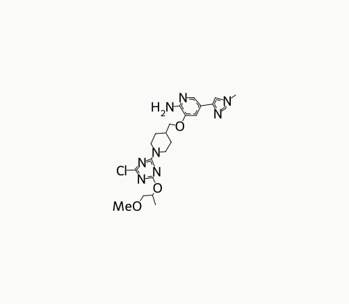 COCC(C)Oc1nc(Cl)nc(N2CCC(COc3cc(-c4cn(C)cn4)cnc3N)CC2)n1